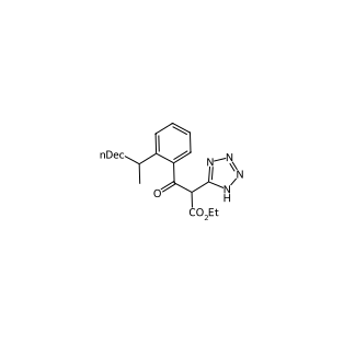 CCCCCCCCCCC(C)c1ccccc1C(=O)C(C(=O)OCC)c1nnn[nH]1